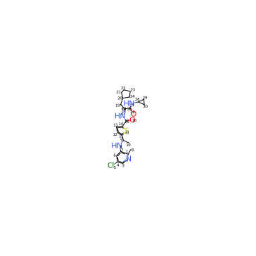 Cc1ncc(Cl)cc1NC(C)c1ccc(C(=O)N[C@@H](CC2CCCC2)C(=O)NC2CC2)s1